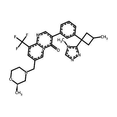 CC1CC(c2cccc(-c3cnc4c(C(F)(F)F)cc(CN5CCO[C@H](C)C5)cn4c3=O)c2)(c2nncn2C)C1